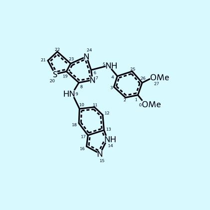 COc1ccc(Nc2nc(Nc3ccc4[nH]ncc4c3)c3sccc3n2)cc1OC